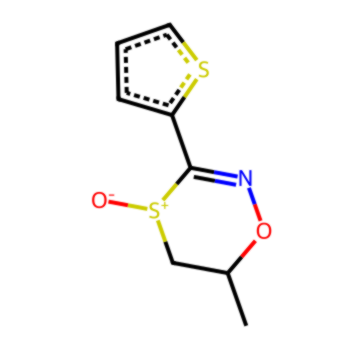 CC1C[S+]([O-])C(c2cccs2)=NO1